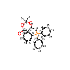 CC1(C)OC(=O)C=C(C=P(c2ccccc2)(c2ccccc2)c2ccccc2)O1